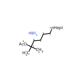 CCCCCCCCCCCC(C)(C)OC(C)=O.N